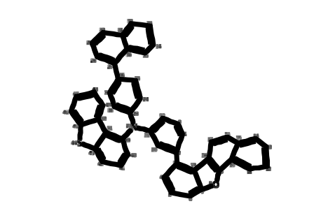 c1cc(-c2cccc3oc4c5ccccc5ccc4c23)cc(N(c2ccc(-c3cccc4ccccc34)cc2)c2cccc3sc4ccccc4c23)c1